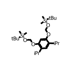 CC(C)c1cc(C(C)C)c(OCO[Si](C)(C)C(C)(C)C)cc1OCO[Si](C)(C)C(C)(C)C